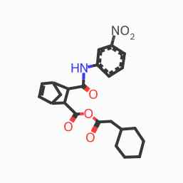 O=C(CC1CCCCC1)OC(=O)C1C2C=CC(C2)C1C(=O)Nc1cccc([N+](=O)[O-])c1